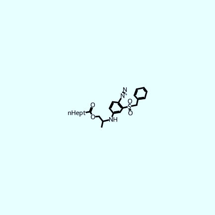 CCCCCCCC(=O)OCC(C)Nc1ccc([N+]#N)c(S(=O)(=O)Cc2ccccc2)c1